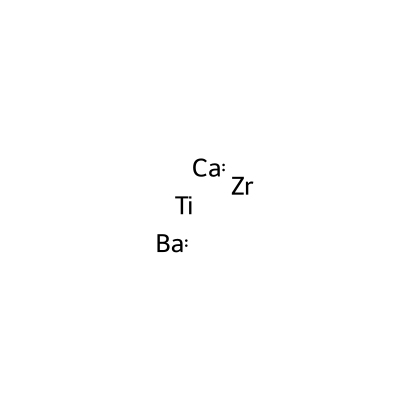 [Ba].[Ca].[Ti].[Zr]